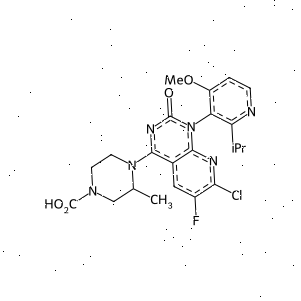 COc1ccnc(C(C)C)c1-n1c(=O)nc(N2CCN(C(=O)O)CC2C)c2cc(F)c(Cl)nc21